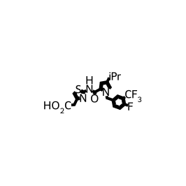 CC(C)c1cc(C(=O)Nc2nc(CC(=O)O)cs2)n(Cc2ccc(F)c(C(F)(F)F)c2)c1